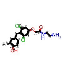 CC(C)c1cc(Cc2c(Cl)cc(OCC(=O)NCCN)cc2Cl)ccc1O